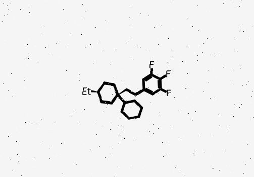 CC[C@H]1CC[C@](CCc2cc(F)c(F)c(F)c2)(C2CCCCC2)CC1